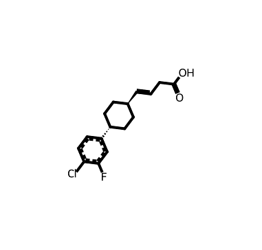 O=C(O)CC=C[C@H]1CC[C@H](c2ccc(Cl)c(F)c2)CC1